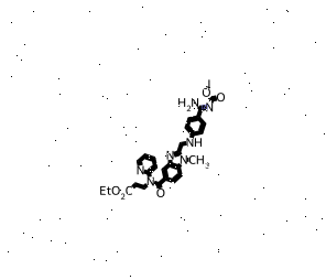 CCOC(=O)CCN(C(=O)c1ccc2c(c1)nc(CNc1ccc(/C(N)=N/C(=O)OI)cc1)n2C)c1ccccn1